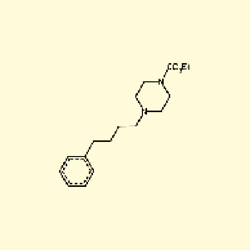 CCOC(=O)N1CCN(CCCCc2ccccc2)CC1